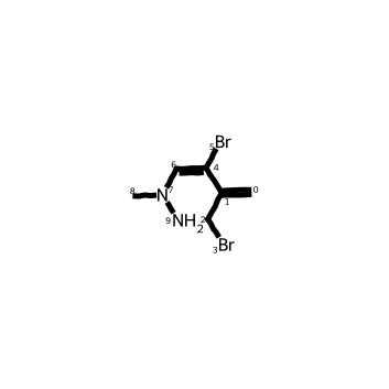 C=C(CBr)/C(Br)=C\N(C)N